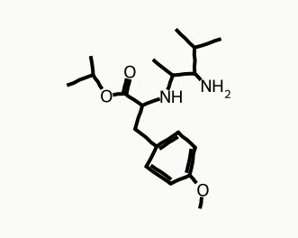 COc1ccc(CC(NC(C)C(N)C(C)C)C(=O)OC(C)C)cc1